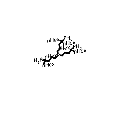 CCCCCCC(P)(CCCCCC)CCCP(CCCC(P)(CCCCCC)CCCCCC)CCCC(P)(CCCCCC)CCCCCC